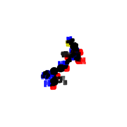 Cc1ncsc1-c1ccc(CNC(=O)[C@@H]2C[C@@H](O)CN2C(=O)[C@@H](NC(=O)CCCNC(=O)c2ccc(-c3ccc(N4CCN(C)CC4)c(NC(=O)c4c[nH]c(=O)cc4C(F)(F)F)c3)cc2)C(C)(C)C)cc1